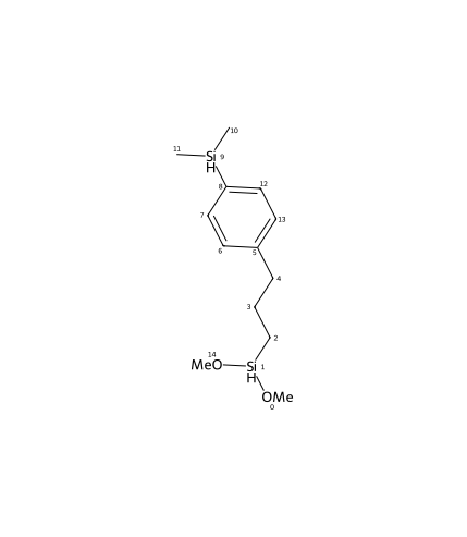 CO[SiH](CCCc1ccc([SiH](C)C)cc1)OC